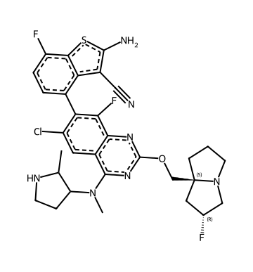 CC1NCCC1N(C)c1nc(OC[C@@]23CCCN2C[C@H](F)C3)nc2c(F)c(-c3ccc(F)c4sc(N)c(C#N)c34)c(Cl)cc12